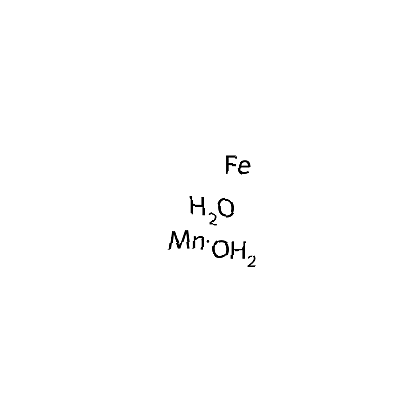 O.O.[Fe].[Mn]